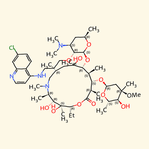 CC[C@H]1OC(=O)[C@H](C)[C@@H](O[C@H]2C[C@@](C)(OC)[C@@H](O)[C@H](C)O2)[C@H](C)[C@@H](O[C@@H]2O[C@H](C)C[C@H](N(C)C)[C@H]2OCCCNc2ccnc3cc(Cl)ccc23)[C@](C)(O)C[C@@H](C)CN(C)[C@H](C)[C@@H](O)[C@]1(C)O